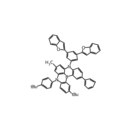 Cc1cc2c3c(c1)N(c1ccc(C(C)(C)C)cc1)c1ccc(C(C)(C)C)cc1B3c1cc(-c3ccccc3)ccc1N2c1cc(-c2cc3ccccc3o2)cc(-c2cc3ccccc3o2)c1